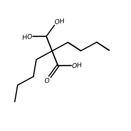 CCCCC(CCCC)(C(=O)O)C(O)O